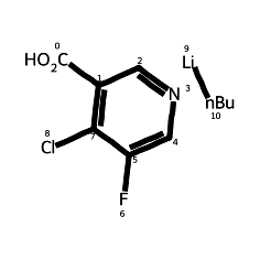 O=C(O)c1cncc(F)c1Cl.[Li][CH2]CCC